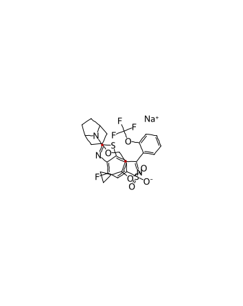 O=S(=O)([O-])c1cc(F)c2nc(N3C4CCC3CC(OCc3c(-c5ccccc5OC(F)(F)F)noc3C3CC3)C4)sc2c1.[Na+]